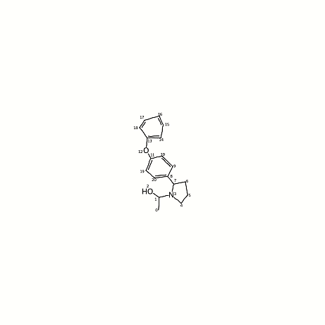 CC(O)N1CCCC1c1ccc(Oc2ccccc2)cc1